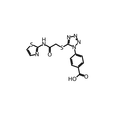 O=C(CSc1nnnn1-c1ccc(C(=O)O)cc1)Nc1nccs1